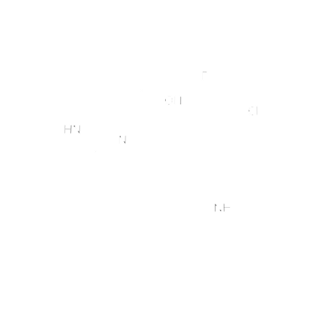 CC(O)C1CNC2CCC(C3CCCNC3C3C=CC(F)C(Cl)C3)CN21